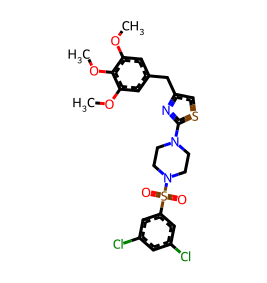 COc1cc(Cc2csc(N3CCN(S(=O)(=O)c4cc(Cl)cc(Cl)c4)CC3)n2)cc(OC)c1OC